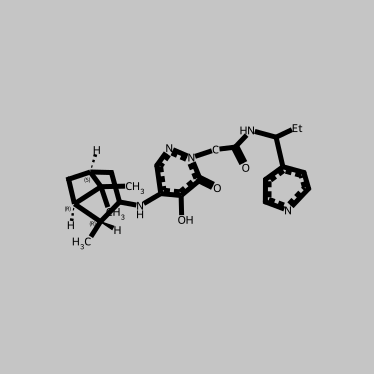 CCC(NC(=O)Cn1ncc(NC2C[C@@H]3C[C@H]([C@H]2C)C3(C)C)c(O)c1=O)c1ccncc1